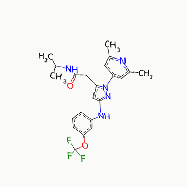 Cc1cc(-n2nc(Nc3cccc(OC(F)(F)F)c3)cc2CC(=O)NC(C)C)cc(C)n1